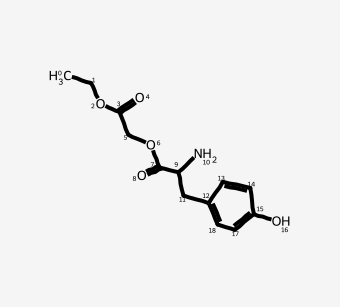 CCOC(=O)COC(=O)C(N)Cc1ccc(O)cc1